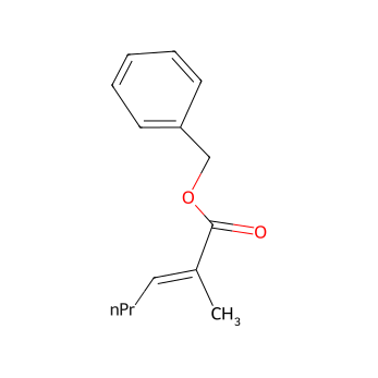 CCCC=C(C)C(=O)OCc1ccccc1